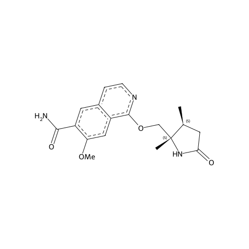 COc1cc2c(OC[C@@]3(C)NC(=O)C[C@@H]3C)nccc2cc1C(N)=O